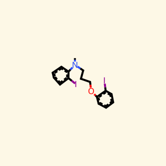 CN(CCCOc1ccccc1I)c1ccccc1I